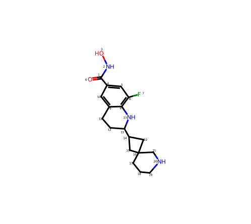 O=C(NO)c1cc(F)c2c(c1)CCC(C1CC3(CCCNC3)C1)N2